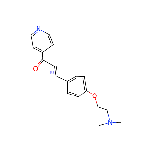 CN(C)CCOc1ccc(/C=C/C(=O)c2ccncc2)cc1